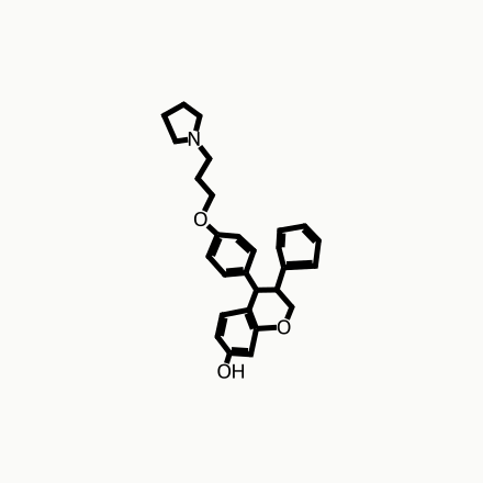 Oc1ccc2c(c1)OCC(c1ccccc1)C2c1ccc(OCCCN2CCCC2)cc1